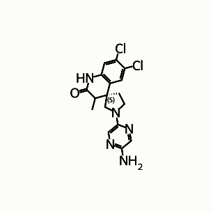 CC1C(=O)Nc2cc(Cl)c(Cl)cc2[C@]12CCN(c1cnc(N)cn1)C2